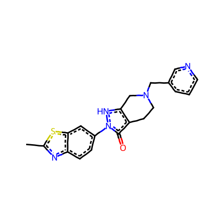 Cc1nc2ccc(-n3[nH]c4c(c3=O)CCN(Cc3cccnc3)C4)cc2s1